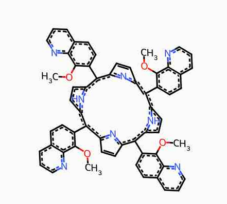 COc1c(-c2c3nc(c(-c4ccc5cccnc5c4OC)c4ccc([nH]4)c(-c4ccc5cccnc5c4OC)c4nc(c(-c5ccc6cccnc6c5OC)c5ccc2[nH]5)C=C4)C=C3)ccc2cccnc12